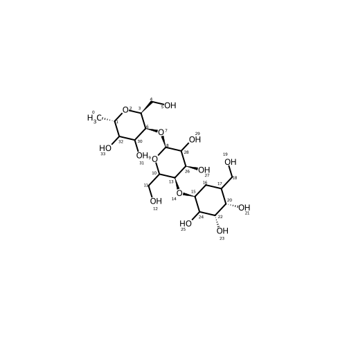 C[C@@H]1O[C@@H](CO)[C@@H](O[C@@H]2OC(CO)[C@H](O[C@H]3CC(CO)[C@H](O)[C@H](O)C3O)[C@H](O)C2O)C(O)C1O